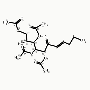 CCCC=CC(=O)[C@H](OC(C)=O)[C@@H](OC(C)=O)[C@H](OC(C)=O)[C@H](O)COC(C)=O